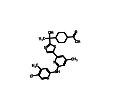 Cc1cc(Nc2cc(C)c(Cl)cn2)nc(-c2cnc(C(C)(O)C3CCC(C(=O)O)CC3)s2)c1